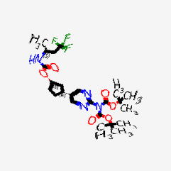 C[C@@H](CC(F)(F)F)NC(=O)O[C@H]1CC[C@@H](c2cnc(N(C(=O)OC(C)(C)C)C(=O)OC(C)(C)C)nc2)C1